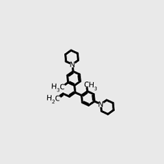 C=CC=C(c1ccc(N2CCCCC2)cc1C)c1ccc(N2CCCCC2)cc1C